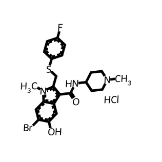 CN1CCC(NC(=O)c2c(CSc3ccc(F)cc3)n(C)c3cc(Br)c(O)cc23)CC1.Cl